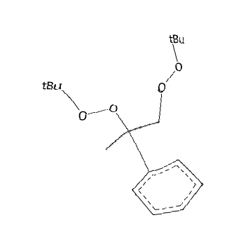 CC(C)(C)OOCC(C)(OOC(C)(C)C)c1ccccc1